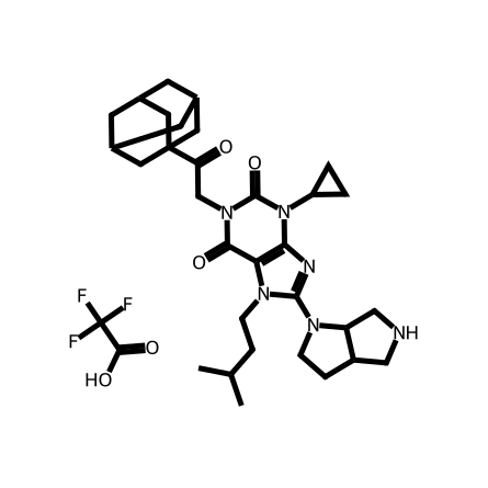 CC(C)CCn1c(N2CCC3CNCC32)nc2c1c(=O)n(CC(=O)C13CC4CC(CC(C4)C1)C3)c(=O)n2C1CC1.O=C(O)C(F)(F)F